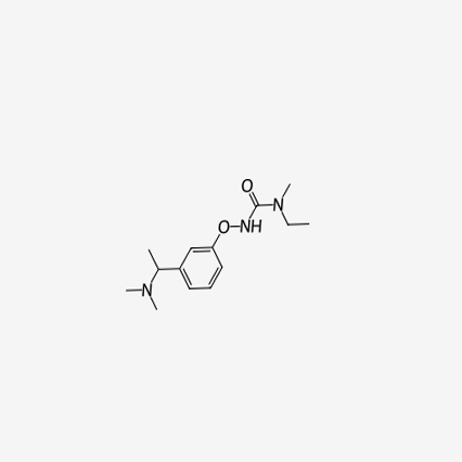 CCN(C)C(=O)NOc1cccc(C(C)N(C)C)c1